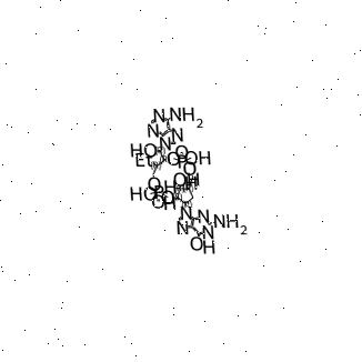 CC[C@@H]1COP(=O)(O)O[C@@H]2[C@H](O)[C@@H](COP(=O)(O)O[C@H]1[C@@H](O)n1cnc3c(N)ncnc31)C[C@H]2n1cnc2c(=O)[nH]c(N)nc21